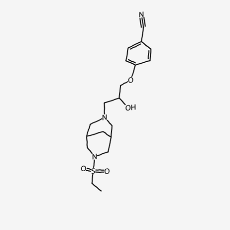 CCS(=O)(=O)N1CC2CC(CN(CC(O)COc3ccc(C#N)cc3)C2)C1